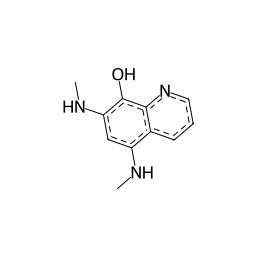 CNc1cc(NC)c2cccnc2c1O